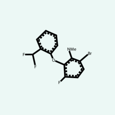 CNc1c(Br)ccc(F)c1Oc1ccccc1C(F)F